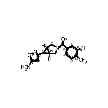 Nc1cc(C2[C@H]3CN(C(=O)c4ccc(C(F)(F)F)c(Cl)c4)C[C@@H]23)no1